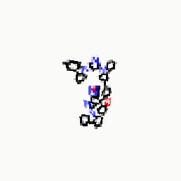 c1ccc2c(c1)Oc1ccc(-c3ccc4c(c3)c3ccccc3n4-c3cncc(-n4c5ccccc5c5ccccc54)c3)cc1C21c2cccnc2-c2ncc(-n3c4ccccc4c4ccccc43)cc21